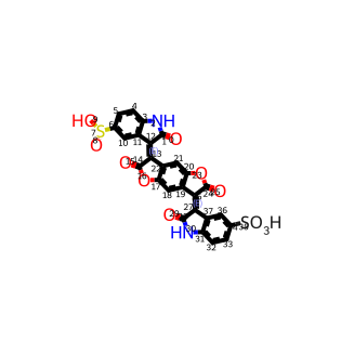 O=C1Nc2ccc(S(=O)O)cc2/C1=C1\C(=O)Oc2cc3c(cc21)OC(=O)/C3=C1/C(=O)Nc2ccc(S(=O)(=O)O)cc21